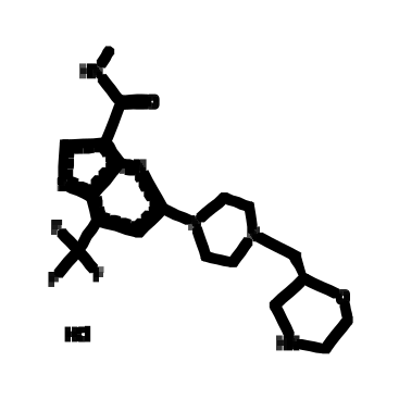 CNC(=O)c1csc2c(C(F)(F)F)cc(N3CCN(C[C@@H]4CNCCO4)CC3)nc12.Cl